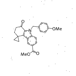 COC(=O)c1ccc2c(c1)c1c(n2Cc2ccc(OC)cc2)C(=O)CCC12CC2